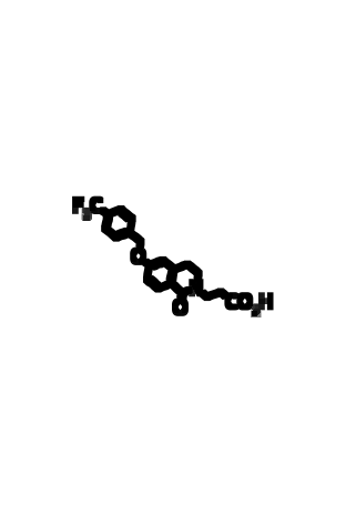 O=C(O)CCN1CCc2cc(OCc3ccc(C(F)(F)F)cc3)ccc2C1=O